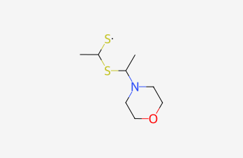 CC([S])SC(C)N1CCOCC1